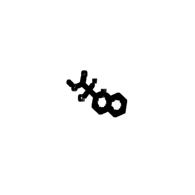 COC(=O)C(F)(Cl)c1ccc2ccccc2n1